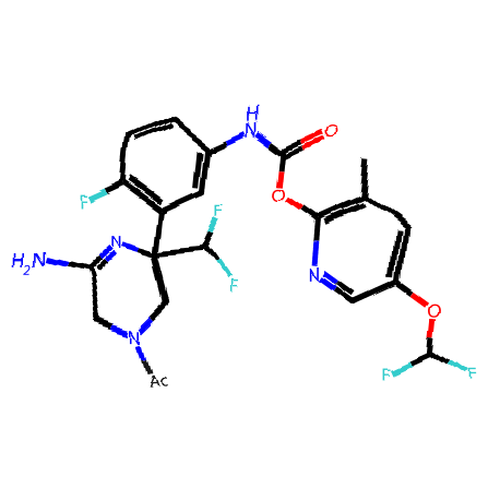 CC(=O)N1CC(N)=NC(c2cc(NC(=O)Oc3ncc(OC(F)F)cc3C)ccc2F)(C(F)F)C1